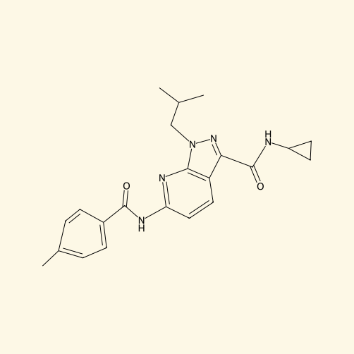 Cc1ccc(C(=O)Nc2ccc3c(C(=O)NC4CC4)nn(CC(C)C)c3n2)cc1